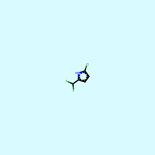 FC(F)c1ccc(Cl)[nH]1